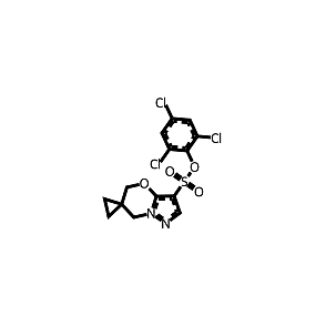 O=S(=O)(Oc1c(Cl)cc(Cl)cc1Cl)c1cnn2c1OCC1(CC1)C2